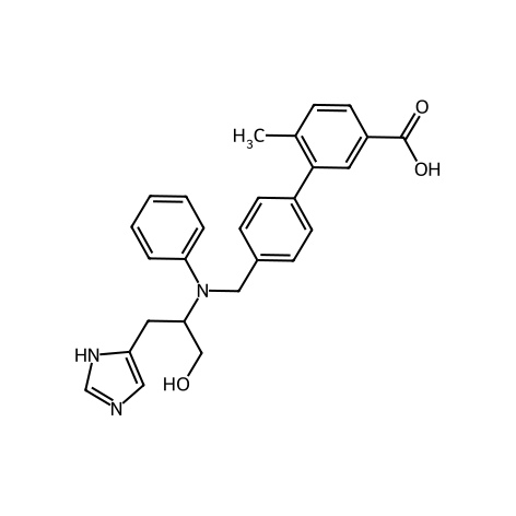 Cc1ccc(C(=O)O)cc1-c1ccc(CN(c2ccccc2)C(CO)Cc2cnc[nH]2)cc1